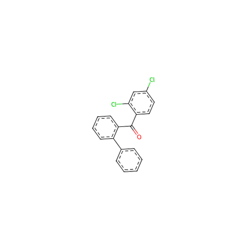 O=C(c1ccc(Cl)cc1Cl)c1ccccc1-c1ccccc1